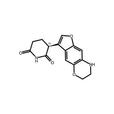 O=C1CC[C@@H](c2coc3cc4c(cc23)OCCN4)C(=O)N1